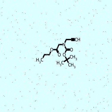 C#CCN(CC(=O)OCCC)C(=O)OC(C)(C)C